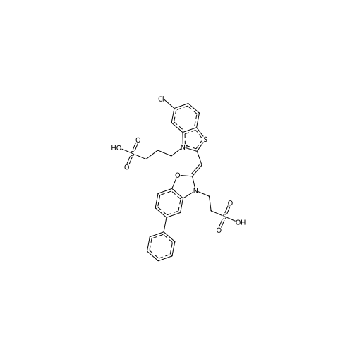 O=S(=O)(O)CCC[n+]1c(/C=C2\Oc3ccc(-c4ccccc4)cc3N2CCS(=O)(=O)O)sc2ccc(Cl)cc21